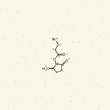 C=C1CCC(=O)N1OC(=O)CCC(C)C